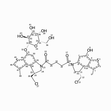 Cc1csc2c(O)cc3c(c12)[C@H](CCl)CN3C(=O)CCCC(=O)N1C[C@@H](CCl)c2c1cc(O[C@H]1O[C@@H](CO)[C@@H](O)[C@@H](O)[C@@H]1O)c1scc(C)c21